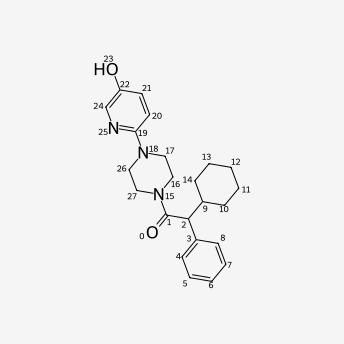 O=C(C(c1ccccc1)C1CCCCC1)N1CCN(c2ccc(O)cn2)CC1